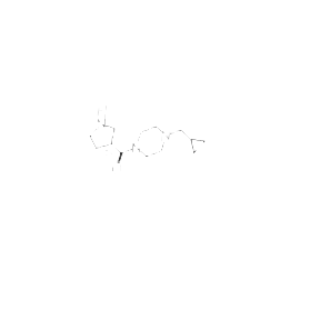 O=C([C@H]1CCNC1)N1CCN(CC2CC2)CC1